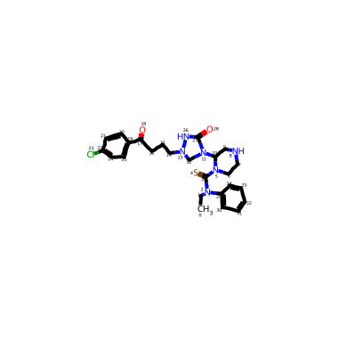 CCN(C(=S)N1CCNCC1N1CN(CCCC(=O)c2ccc(Cl)cc2)NC1=O)c1ccccc1